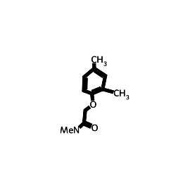 CNC(=O)COc1ccc(C)cc1C